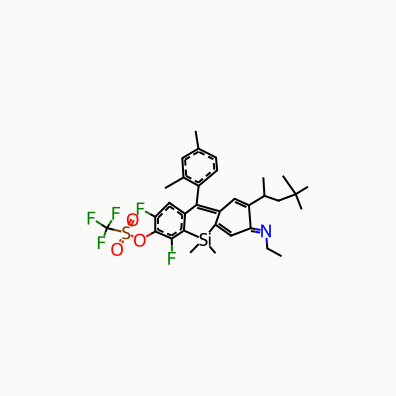 CC/N=C1\C=C2C(=C(c3ccc(C)cc3C)c3cc(F)c(OS(=O)(=O)C(F)(F)F)c(F)c3[Si]2(C)C)C=C1C(C)CC(C)(C)C